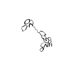 O=C1CCC(N2Cc3c(CCCCCN4CCOc5ccccc54)cccc3C2=O)C(=O)N1